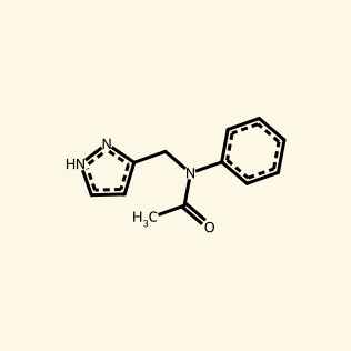 CC(=O)N(Cc1cc[nH]n1)c1ccccc1